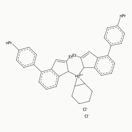 CCCc1ccc(-c2cccc3c2C=C(CC)[CH]3[Hf+2]2([CH]3C(CC)=Cc4c(-c5ccc(CCC)cc5)cccc43)[CH]3CCCC[CH]32)cc1.[Cl-].[Cl-]